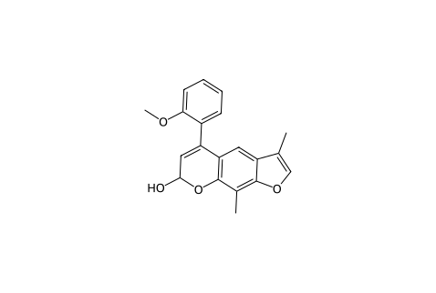 COc1ccccc1C1=CC(O)Oc2c1cc1c(C)coc1c2C